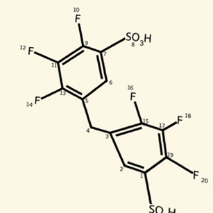 O=S(=O)(O)c1cc(Cc2cc(S(=O)(=O)O)c(F)c(F)c2F)c(F)c(F)c1F